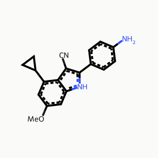 COc1cc(C2CC2)c2c(C#N)c(-c3ccc(N)cc3)[nH]c2c1